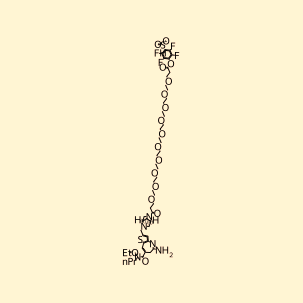 CCCN(OCC)C(=O)C1=Cc2sc(CN3C[C@H]4C[C@@H]3CN4C(=O)CCOCCOCCOCCOCCOCCOCCOCCOCCOCCOCCC(=O)Oc3c(F)c(F)c([SH](=O)=O)c(F)c3F)cc2N=C(N)C1